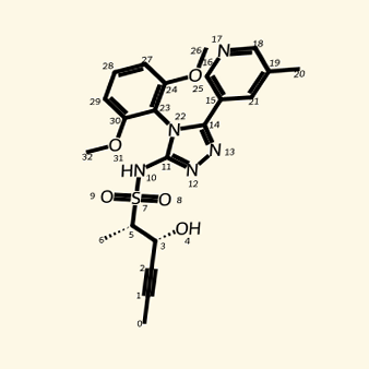 CC#C[C@@H](O)[C@H](C)S(=O)(=O)Nc1nnc(-c2cncc(C)c2)n1-c1c(OC)cccc1OC